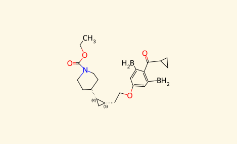 Bc1cc(OCC[C@@H]2C[C@@H]2C2CCN(C(=O)OCC)CC2)cc(B)c1C(=O)C1CC1